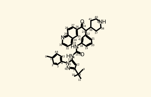 Cc1ccc(-n2nc(C(C)(C)C)cc2NC(=O)Nc2cccc(C(C(=O)c3ccc4ncccc4c3)C3CCNCC3)c2)cc1